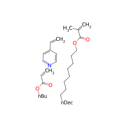 C=C(C)C(=O)OCCCCCCCCCCCCCCCCCC.C=CC(=O)OCCCC.C=Cc1ccncc1